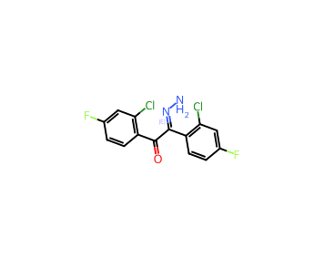 N/N=C(/C(=O)c1ccc(F)cc1Cl)c1ccc(F)cc1Cl